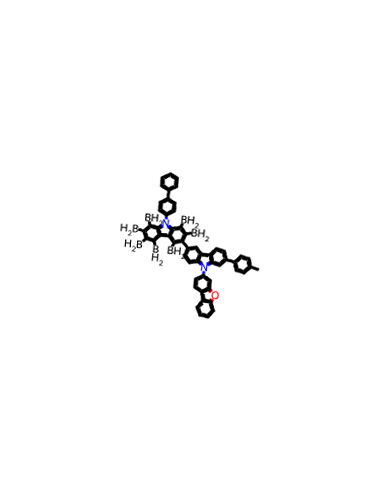 Bc1c(B)c(B)c2c(c1B)c1c(B)c(-c3ccc4c(c3)c3ccc(-c5ccc(C)cc5)cc3n4-c3ccc4c(c3)oc3ccccc34)c(B)c(B)c1n2-c1ccc(-c2ccccc2)cc1